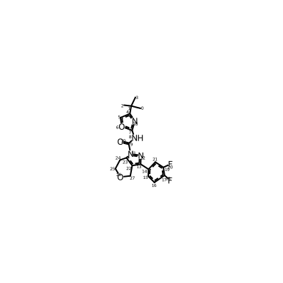 CC(C)(C)c1coc(NC(=O)n2nc(-c3ccc(F)c(F)c3)c3c2CCOC3)n1